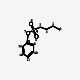 [CH2]CCCS(=O)(=O)Oc1ccccc1